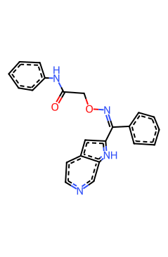 O=C(CO/N=C(/c1ccccc1)c1cc2ccncc2[nH]1)Nc1ccccc1